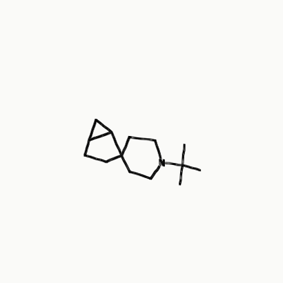 CC(C)(C)N1CCC2(CCC3CC32)CC1